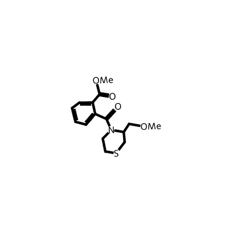 COCC1CSCCN1C(=O)c1ccccc1C(=O)OC